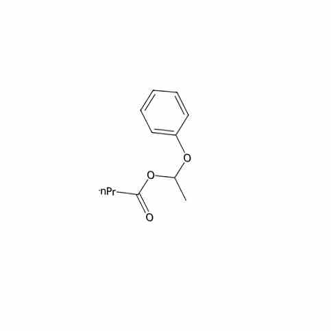 CC[CH]C(=O)OC(C)Oc1ccccc1